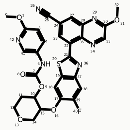 COc1ccc(NC(=O)OC2CCOCC2Oc2cc3sc(-c4cc(C#N)cc5nc(OC)cnc45)nc3cc2F)cn1